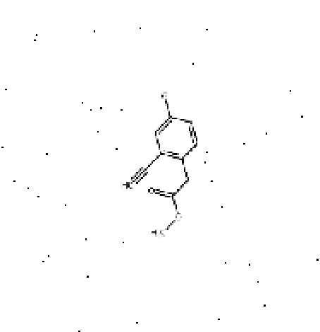 C#Cc1cc(F)ccc1CC(=O)OC